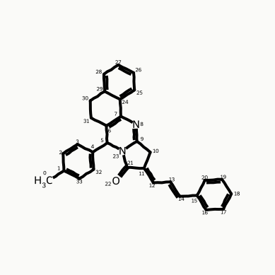 Cc1ccc(C2C3=C(N=C4C/C(=C\C=C\c5ccccc5)C(=O)N42)c2ccccc2CC3)cc1